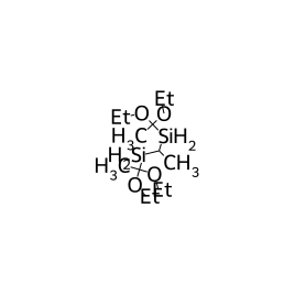 CCOC(C)(OCC)[SiH2]C(C)[SiH2]C(C)(OCC)OCC